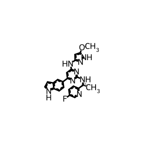 COc1cc(Nc2cc(-c3ccc4[nH]ccc4c3)nc(N[C@@H](C)c3ccc(F)cn3)n2)n[nH]1